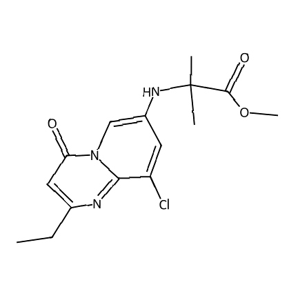 CCc1cc(=O)n2cc(NC(C)(C)C(=O)OC)cc(Cl)c2n1